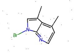 Cc1ccnc2c1c(C)cn2Br